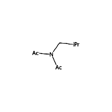 CC(=O)N(CC(C)C)C(C)=O